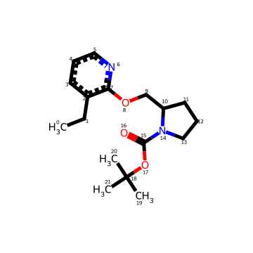 CCc1cccnc1OCC1CCCN1C(=O)OC(C)(C)C